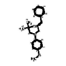 COc1ccc(N(C/C=C/c2ccccc2)CC(C)(C)C)cc1